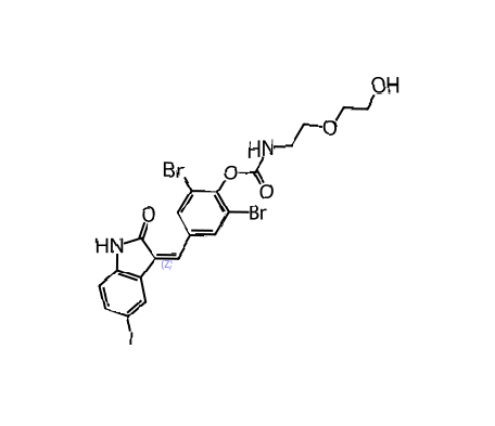 O=C(NCCOCCO)Oc1c(Br)cc(/C=C2\C(=O)Nc3ccc(I)cc32)cc1Br